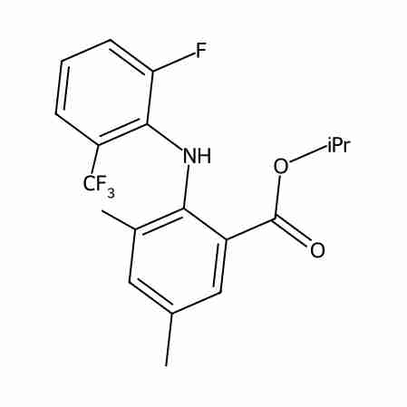 Cc1cc(C)c(Nc2c(F)cccc2C(F)(F)F)c(C(=O)OC(C)C)c1